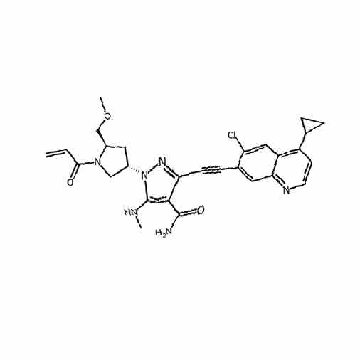 C=CC(=O)N1C[C@@H](n2nc(C#Cc3cc4nccc(C5CC5)c4cc3Cl)c(C(N)=O)c2NC)C[C@@H]1COC